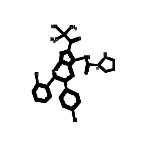 CC(C)(O)C(=O)c1oc2nc(-c3ccccc3Cl)c(-c3ccc(Cl)cc3)cc2c1NC(=O)[C@@H]1CCCN1